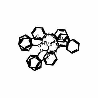 c1ccc(O[PH](Oc2ccccc2)(Oc2ccccc2)[Mo]([PH](Oc2ccccc2)(Oc2ccccc2)Oc2ccccc2)[PH](Oc2ccccc2)(Oc2ccccc2)Oc2ccccc2)cc1